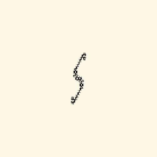 O=C(Oc1cccc2c(OC(=O)c3ccc(OCCCCCCCCCCC(CC4CO4)C4CO4)cc3)cccc12)c1ccc(OCCCCCCCCCCC(CC2CO2)C2CO2)cc1